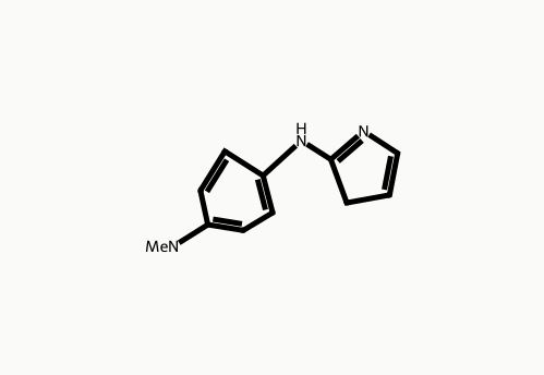 CNc1ccc(NC2=NC=CC2)cc1